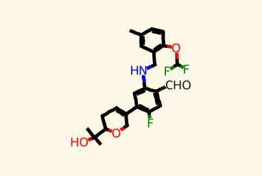 Cc1ccc(OC(F)F)c(CNc2cc(C3=CCC(C(C)(C)O)OC3)c(F)cc2C=O)c1